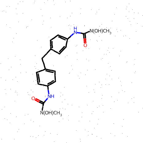 CN(O)C(=O)Nc1ccc(Cc2ccc(NC(=O)N(C)O)cc2)cc1